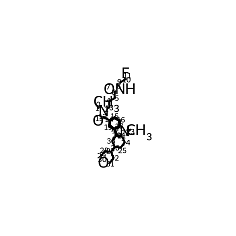 CCN(CCCC(=O)NCCF)C(=O)c1ccc2c(c1)c1c(n2C)CCC(C2CCOCC2)C1